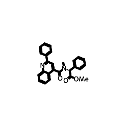 COC(=O)[C@@H](c1ccccc1)N(C)C(=O)c1cc(-c2ccccc2)nc2ccccc12